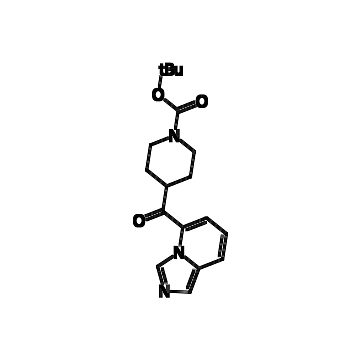 CC(C)(C)OC(=O)N1CCC(C(=O)c2cccc3cncn23)CC1